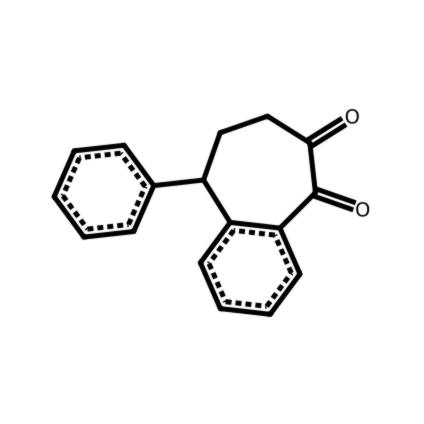 O=C1CCC(c2ccccc2)c2ccccc2C1=O